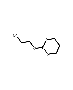 N#CCCOP1SCCCS1